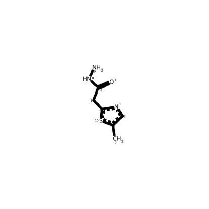 Cc1cnc(CC(=O)NN)s1